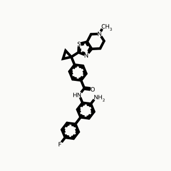 CN1CCc2nc(C3(c4ccc(C(=O)Nc5cc(-c6ccc(F)cc6)ccc5N)cc4)CC3)sc2C1